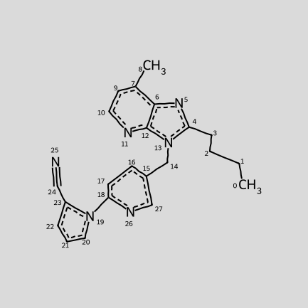 CCCCc1nc2c(C)ccnc2n1Cc1ccc(-n2cccc2C#N)nc1